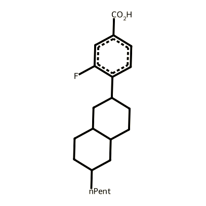 CCCCCC1CCC2CC(c3ccc(C(=O)O)cc3F)CCC2C1